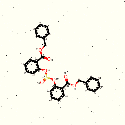 O=C(OCc1ccccc1)c1ccccc1OS(=O)Oc1ccccc1C(=O)OCc1ccccc1